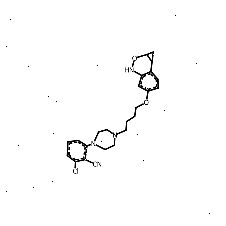 N#Cc1c(Cl)cccc1N1CCN(CCCCOc2ccc3c(c2)NOC2CC32)CC1